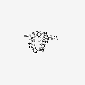 CC(C)(C)c1cccc(NC(=O)C(=O)NC[C@H](NC(=O)c2ccc(Nc3nc(NC4(c5ccc(Cl)cc5)CC4)nc(OCC(F)(F)F)n3)cc2)C(=O)O)c1